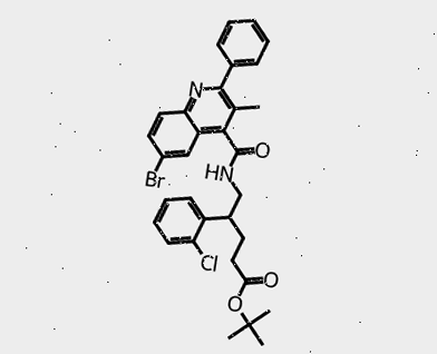 Cc1c(-c2ccccc2)nc2ccc(Br)cc2c1C(=O)NCC(CCC(=O)OC(C)(C)C)c1ccccc1Cl